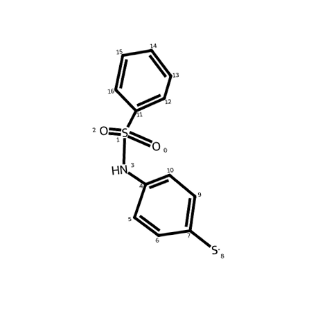 O=S(=O)(Nc1ccc([S])cc1)c1ccccc1